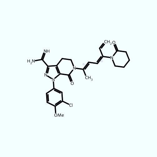 C=C/C(=C\C=C(/C)N1CCc2c(C(=N)N)nn(-c3ccc(OC)c(Cl)c3)c2C1=O)N1CCCCC1=O